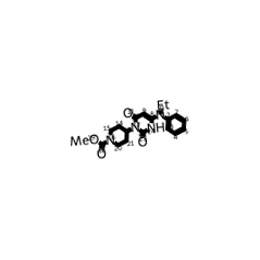 CCN(c1ccccc1)c1cc(=O)n(C2CCN(C(=O)OC)CC2)c(=O)[nH]1